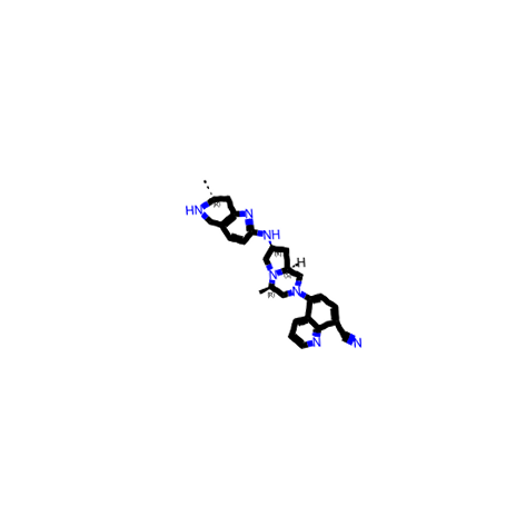 C[C@@H]1Cc2nc(N[C@@H]3C[C@H]4CN(c5ccc(C#N)c6ncccc56)C[C@@H](C)N4C3)ccc2CN1